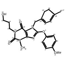 COc1ccc(Oc2nc3c(c(=O)n(CCCO)c(=O)n3C)n2CC2=CC=C(F)CC2)cc1